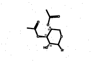 CC(=O)O[C@H]1[C@H](OC(C)=O)COC(Br)[C@@H]1O